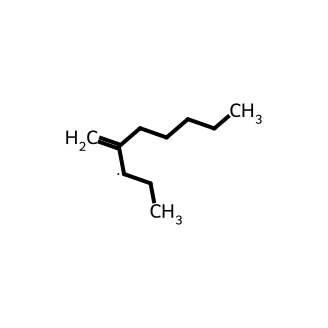 C=C([CH]CC)CCCCC